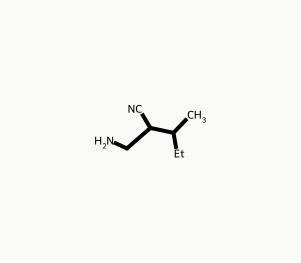 CCC(C)C(C#N)CN